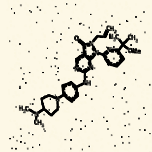 C=CCn1c(=O)c2cnc(Nc3ccc(N4CCC(N(C)C)CC4)cc3)nc2n1-c1cccc(C(C)(C)OC)n1